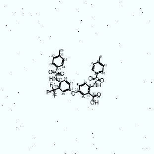 Cc1ccc(S(=O)(=O)Nc2ccc(Oc3ccc(NS(=O)(=O)c4ccc(C)cc4)c(C(F)(F)F)c3)cc2C(=O)O)cc1